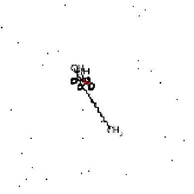 CCCCCCCCCCCCCCCCCCc1cccc(C(OCC(O)CO)(c2ccccc2)c2ccccc2)c1C(=O)c1ccccc1